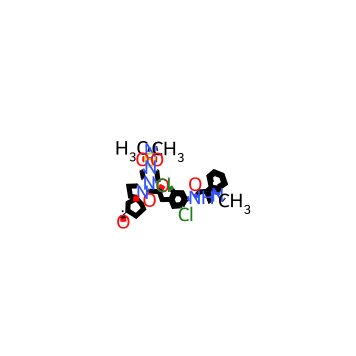 CN(C)S(=O)(=O)N1CCN(C(O[C@H]2CC[C@H]([C]=O)CC2)(C(=O)Cc2cc(Cl)c(NC(=O)c3cn(C)c4ccccc34)cc2Cl)N2CCCC2)CC1